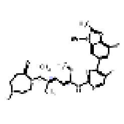 C=N/C(=C\C=C(/C)[C@@H](C)N1CCN(CC)CCC1=O)Nc1ncc(F)c(-c2cc(F)c3nc(C)n(C(C)C)c3c2)n1